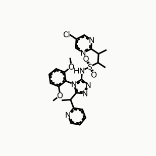 COc1cccc(OC)c1-n1c(NS(=O)(=O)C(C)C(C)c2ncc(Cl)cn2)nnc1C(C)c1ccccn1